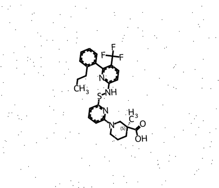 CCCc1ccccc1-c1nc(NSc2cccc(N3CCC[C@](C)(C(=O)O)C3)n2)ccc1C(F)(F)F